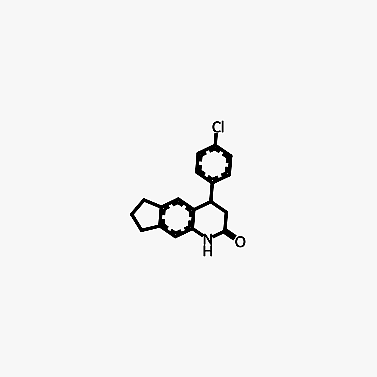 O=C1CC(c2ccc(Cl)cc2)c2cc3c(cc2N1)CCC3